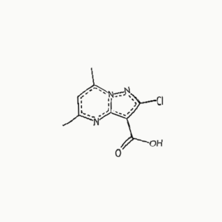 Cc1cc(C)n2nc(Cl)c(C(=O)O)c2n1